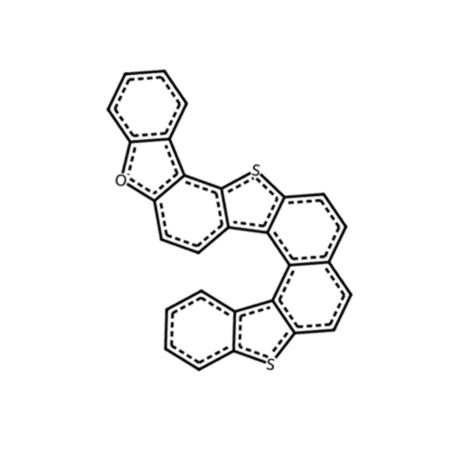 c1ccc2c(c1)oc1ccc3c(sc4ccc5ccc6sc7ccccc7c6c5c43)c12